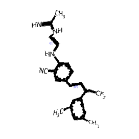 CC(=N)N/C=C/Nc1ccc(/C=C/C(c2cc(C)cc(C)c2)C(F)(F)F)cc1C#N